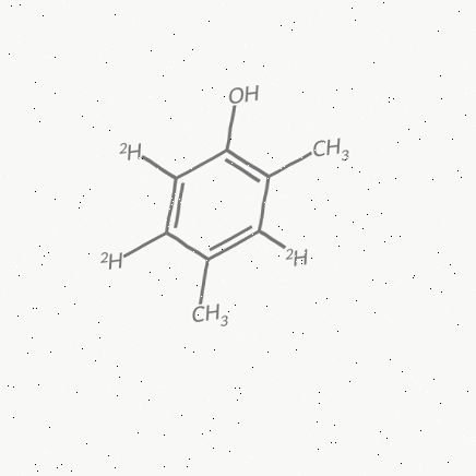 [2H]c1c([2H])c(O)c(C)c([2H])c1C